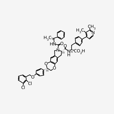 Cc1nccc(-c2ccc(C[C@H](NC(=O)[C@@H]3Cc4cc5c(cc4CN3C(=O)N[C@H](C)c3ccccc3)O[C@@H](c3ccc(OCc4cccc(Cl)c4Cl)cc3)CO5)C(=O)O)cc2)c1C